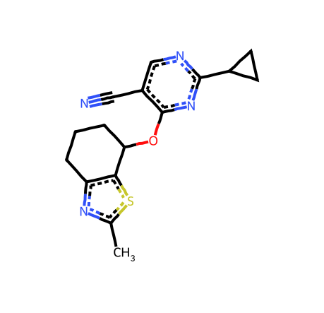 Cc1nc2c(s1)C(Oc1nc(C3CC3)ncc1C#N)CCC2